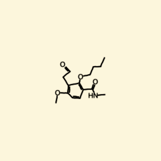 CCCCOc1c(C(=O)NC)ccc(OC)c1CC=O